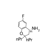 CCCC1(CCC)C[C@@H](N)c2cc(F)ccc2O1